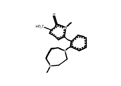 CN1CCCN(c2ccccc2-c2ccc(C(=O)O)c(=O)n2C)CC1